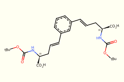 CC(C)(C)OC(=O)N[C@@H](CC=Cc1cccc(C=CC[C@H](NC(=O)OC(C)(C)C)C(=O)O)c1)C(=O)O